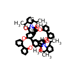 CC(C)c1cccc(C(C)C)c1-n1c(=O)c2cc3cc4c2c(cc2oc5ccccc5c5ccccc5oc5cc6c(=O)n(-c7c(C(C)C)cccc7C(C)C)c(=O)c7cc(cc(c76)c5c24)oc2ccccc2c2ccccc2o3)c1=O